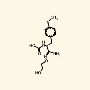 CSc1ccc(C[C@H](NC(=O)O)/C(N)=N/OCCO)cc1